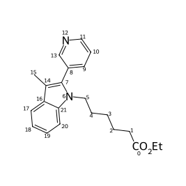 CCOC(=O)CCCCCn1c(-c2cccnc2)c(C)c2ccccc21